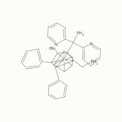 CC(C)(C)[C]12[C]3(c4ccccc4)[C]4(c5ccccc5)[C]5(CP)[C]1(C(P)(c1ccccn1)c1ccccn1)[Fe]54321678[CH]2[CH]1[CH]6[CH]7[CH]28